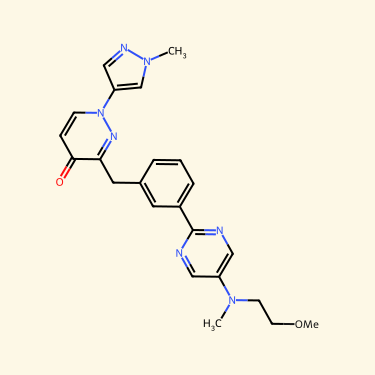 COCCN(C)c1cnc(-c2cccc(Cc3nn(-c4cnn(C)c4)ccc3=O)c2)nc1